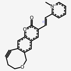 C[n+]1ccccc1/C=C/c1cc2cc3c(cc2oc1=O)C#CCCOC3